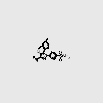 Cc1ccc2c(c1)COc1c(C(F)F)nn(-c3ccc(S(N)(=O)=O)cc3)c1-2